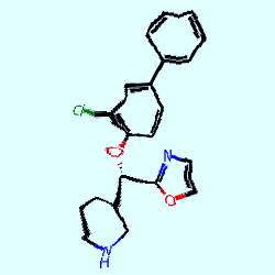 Clc1cc(-c2ccccc2)ccc1O[C@H](c1ncco1)[C@@H]1CCNC1